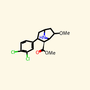 COC(=O)[C@H]1C(c2ccc(Cl)c(Cl)c2)CC2CC(OC)C1N2